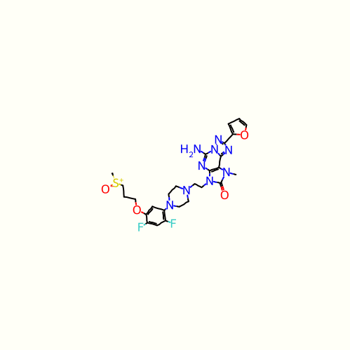 Cn1c(=O)n(CCN2CCN(c3cc(OCCC[S@+](C)[O-])c(F)cc3F)CC2)c2nc(N)n3nc(-c4ccco4)nc3c21